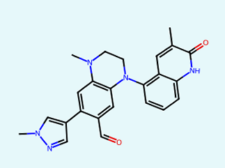 Cc1cc2c(N3CCN(C)c4cc(-c5cnn(C)c5)c(C=O)cc43)cccc2[nH]c1=O